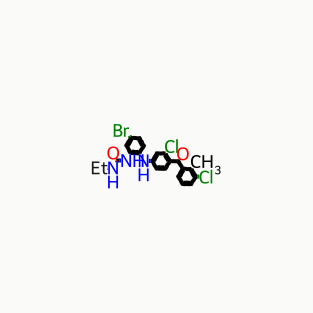 CCNC(=O)Nc1cc(Br)ccc1Nc1ccc(C(=O)c2cccc(Cl)c2C)c(Cl)c1